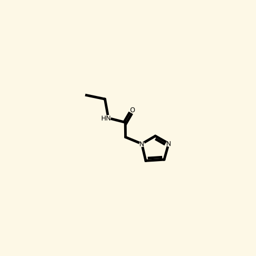 CCNC(=O)Cn1ccnc1